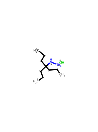 CCCC(CCC)(CCC)NN.Cl